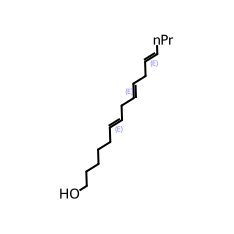 CCC/C=C/C/C=C/C/C=C/CCCCCO